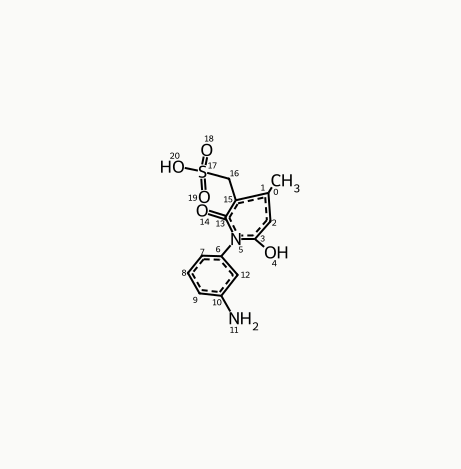 Cc1cc(O)n(-c2cccc(N)c2)c(=O)c1CS(=O)(=O)O